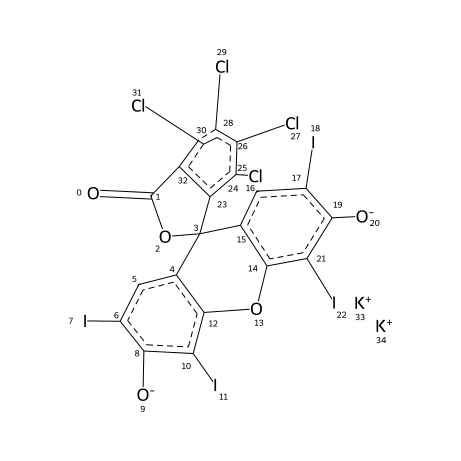 O=C1OC2(c3cc(I)c([O-])c(I)c3Oc3c2cc(I)c([O-])c3I)c2c(Cl)c(Cl)c(Cl)c(Cl)c21.[K+].[K+]